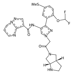 CSc1ccc(OC(F)F)c(-c2nn(CC(=O)N3C[C@@H]4CCN[C@@H]4C3)cc2NC(=O)c2cnn3cccnc23)c1